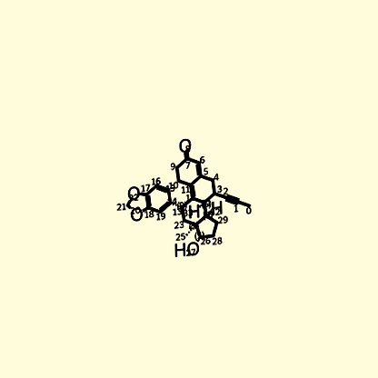 CC#CC1CC2=CC(=O)CCC2=C2[C@@H](c3ccc4c(c3)OCO4)C[C@]3(C)[C@@H](O)CC[C@H]3[C@@H]21